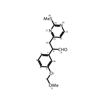 COCOc1cccc(C(C=O)Cc2ccnc(SC)n2)c1